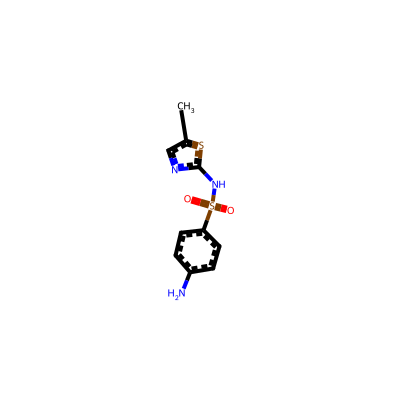 Cc1cnc(NS(=O)(=O)c2ccc(N)cc2)s1